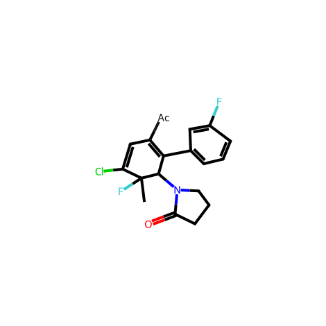 CC(=O)C1=C(c2cccc(F)c2)C(N2CCCC2=O)C(C)(F)C(Cl)=C1